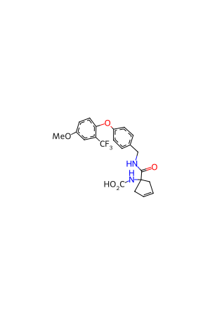 COc1ccc(Oc2ccc(CNC(=O)C3(NC(=O)O)CC=CC3)cc2)c(C(F)(F)F)c1